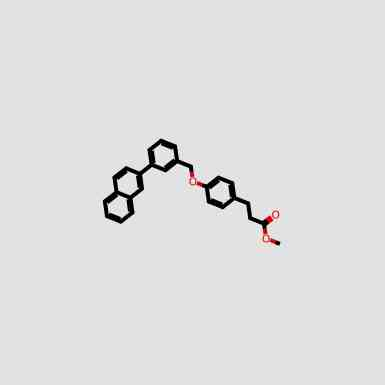 COC(=O)CCc1ccc(OCc2cccc(-c3ccc4ccccc4c3)c2)cc1